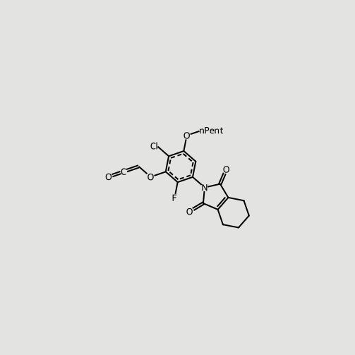 CCCCCOc1cc(N2C(=O)C3=C(CCCC3)C2=O)c(F)c(OC=C=O)c1Cl